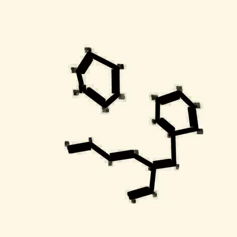 C=CC=CC(C=C)=Cc1ccccc1.c1ccncc1